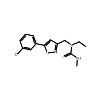 CCN(Cc1cc(-c2cccc(Cl)c2)on1)C(=S)NC